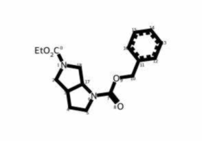 CCOC(=O)N1CC2CCN(C(=O)OCc3ccccc3)C2C1